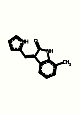 Cc1cccc2c1NC(=O)C2=Cc1ccc[nH]1